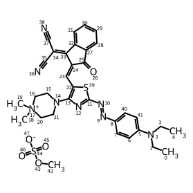 CCN(CC)c1ccc(N=Nc2nc(N3CC[N+](C)(C)CC3)c(C=C3C(=O)c4ccccc4C3=C(C#N)C#N)s2)cc1.COS(=O)(=O)[O-]